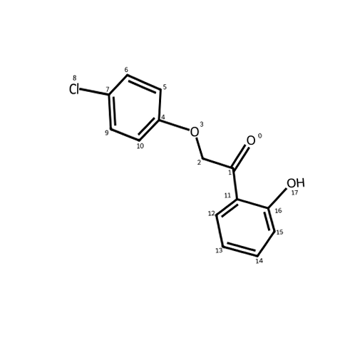 O=C(COc1ccc(Cl)cc1)c1ccccc1O